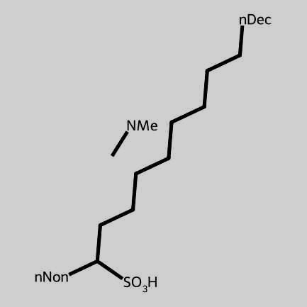 CCCCCCCCCCCCCCCCCCC(CCCCCCCCC)S(=O)(=O)O.CNC